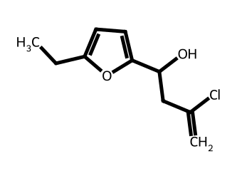 C=C(Cl)CC(O)c1ccc(CC)o1